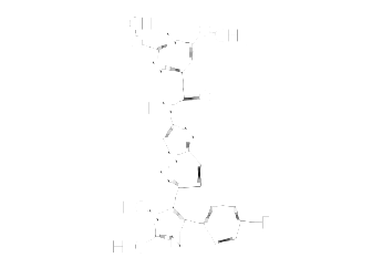 COc1cc(C(=O)Nc2cn3nc(-c4c(-c5ccc(F)cc5)nc(C)n4C)ccc3n2)nc(OC)n1